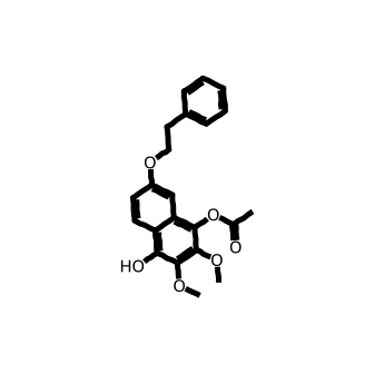 COc1c(OC)c(OC(C)=O)c2cc(OCCc3ccccc3)ccc2c1O